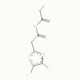 CCC(=O)NC(=O)Cc1nc(C)c(C)[nH]1